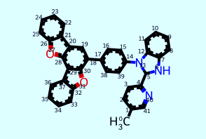 Cc1ccc(C2Nc3ccccc3N2c2ccc(-c3cc4c5ccccc5oc4c4c3oc3ccccc34)cc2)nc1